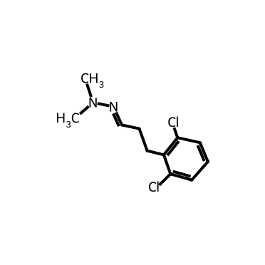 CN(C)N=CCCc1c(Cl)cccc1Cl